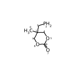 CC1(CP)COC(=O)OC1